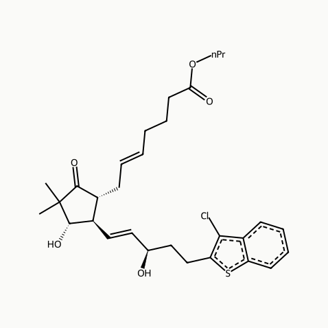 CCCOC(=O)CCCC=CC[C@H]1C(=O)C(C)(C)[C@@H](O)[C@@H]1C=C[C@H](O)CCc1sc2ccccc2c1Cl